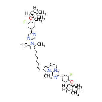 Cc1cc(/C=C\CCCCCc2cc(C)n(-c3cnc([C@@H]4CCC(O[Si](C)(C)C(C)(C)C)[C@@H](F)C4)cn3)c2C)c(C)n1-c1cnc([C@H]2CCC(O[Si](C)(C)C(C)(C)C)[C@@H](F)C2)cn1